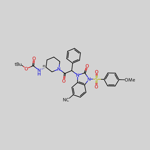 COc1ccc(S(=O)(=O)n2c(=O)n(C(C(=O)N3CCC[C@@H](NC(=O)OC(C)(C)C)C3)c3ccccc3)c3cc(C#N)ccc32)cc1